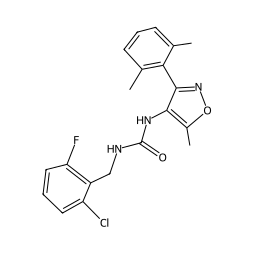 Cc1cccc(C)c1-c1noc(C)c1NC(=O)NCc1c(F)cccc1Cl